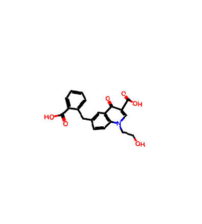 O=C(O)c1ccccc1Cc1ccc2c(c1)c(=O)c(C(=O)O)cn2CCO